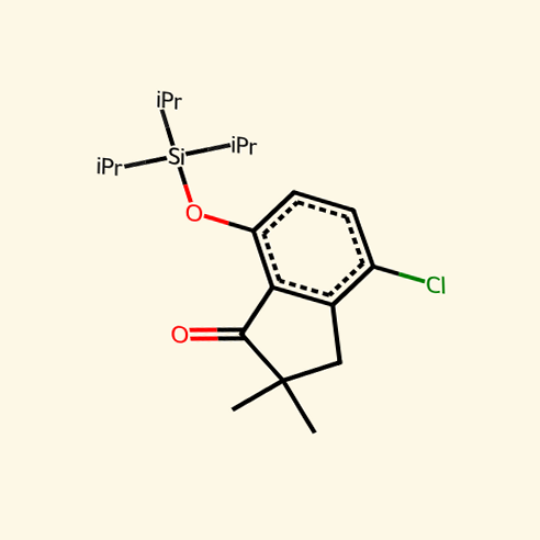 CC(C)[Si](Oc1ccc(Cl)c2c1C(=O)C(C)(C)C2)(C(C)C)C(C)C